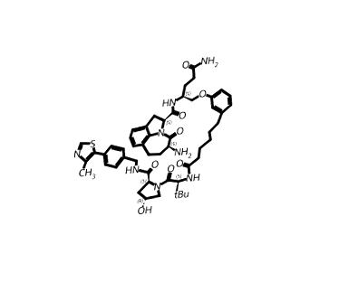 Cc1ncsc1-c1ccc(CNC(=O)[C@@H]2C[C@@H](O)CN2C(=O)[C@@H](NC(=O)CCCCCc2cccc(OC[C@H](CCC(N)=O)NC(=O)[C@@H]3Cc4cccc5c4N3C(=O)[C@@H](N)CC5)c2)C(C)(C)C)cc1